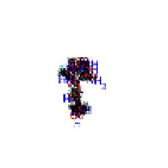 COc1cccc(S(=O)(=O)Nc2ccc(C(Cc3ccccc3F)c3nc4c([nH]3)c(=O)[nH]c(=O)n4CC3CC3)cc2)c1.NC(=O)c1ccc(C(Cc2ccccc2F)c2nc3c([nH]2)c(=O)[nH]c(=O)n3CC2CC2)cc1.O=c1[nH]c(=O)n(CC2CC2)c2nc(C(Cc3ccccc3F)c3ccc(NS(=O)(=O)c4cccc(F)c4)cc3)[nH]c12